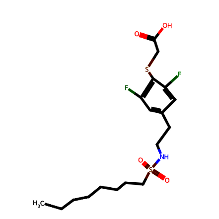 CCCCCCCCS(=O)(=O)NCCc1cc(F)c(SCC(=O)O)c(F)c1